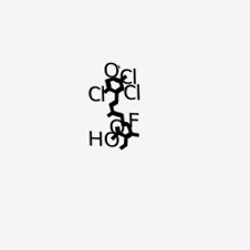 CCC(C(=O)O)=C(C)C(F)=CC=C(C)C=Cc1c(Cl)cc(OC)c(Cl)c1Cl